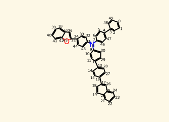 c1ccc(-c2ccc(N(c3ccc(-c4ccc(-c5ccc6ccccc6c5)cc4)cc3)c3ccc(-c4cc5ccccc5o4)cc3)cc2)cc1